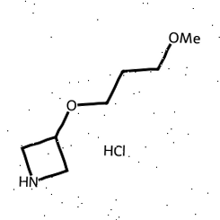 COCCCOC1CNC1.Cl